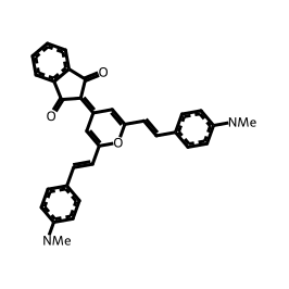 CNc1ccc(C=CC2=CC(=C3C(=O)c4ccccc4C3=O)C=C(C=Cc3ccc(NC)cc3)O2)cc1